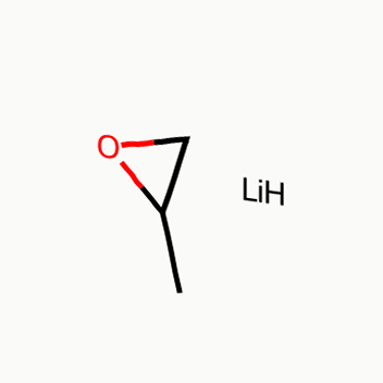 CC1CO1.[LiH]